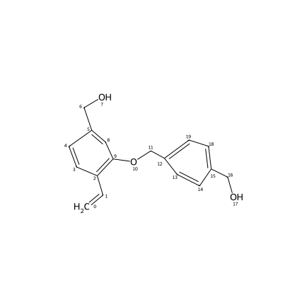 C=Cc1ccc(CO)cc1OCc1ccc(CO)cc1